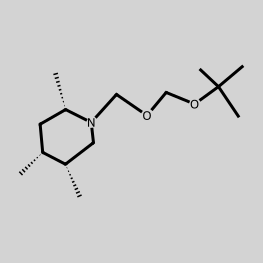 C[C@@H]1C[C@H](C)N(COCOC(C)(C)C)C[C@@H]1C